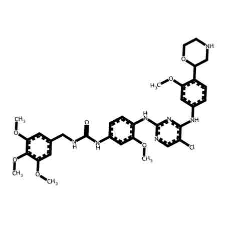 COc1cc(NC(=O)NCc2cc(OC)c(OC)c(OC)c2)ccc1Nc1ncc(Cl)c(Nc2ccc(C3CNCCO3)c(OC)c2)n1